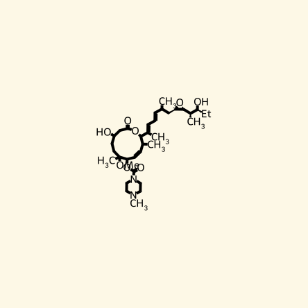 CC[C@H](O)[C@@H](C)[C@H]1O[C@@H]1CC(C)/C=C/C=C(\C)C1OC(=O)CC(O)CCC(C)(OC)C(OC(=O)N2CCN(C)CC2)C=CC1C